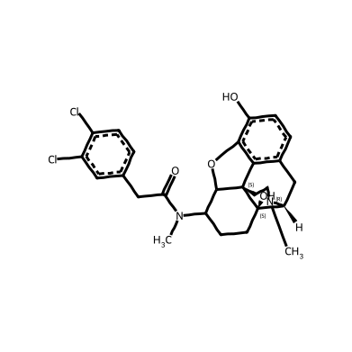 CN(C(=O)Cc1ccc(Cl)c(Cl)c1)C1CC[C@@]2(O)[C@H]3Cc4ccc(O)c5c4[C@@]2(CCN3C)C1O5